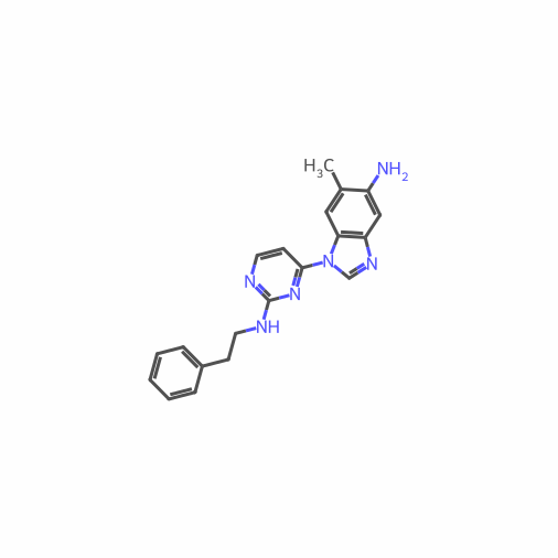 Cc1cc2c(cc1N)ncn2-c1ccnc(NCCc2ccccc2)n1